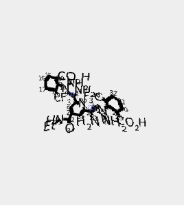 CCNC(=O)c1cc(/C(N)=C/N(N)c2c(C(=O)O)cccc2C(F)(F)F)nc(/C(N)=C/N(N)c2c(C(=O)O)cccc2C(F)(F)F)c1